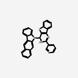 c1cncc(C2=Nc3c(sc4ccccc34)C(n3c4ccccc4c4cc5ccccc5cc43)N2)c1